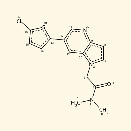 CN(C)C(=O)Cn1ccc2ncc(-c3ccc(Cl)s3)cc21